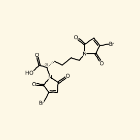 O=C(O)[C@H](CCCCN1C(=O)C=C(Br)C1=O)N1C(=O)C=C(Br)C1=O